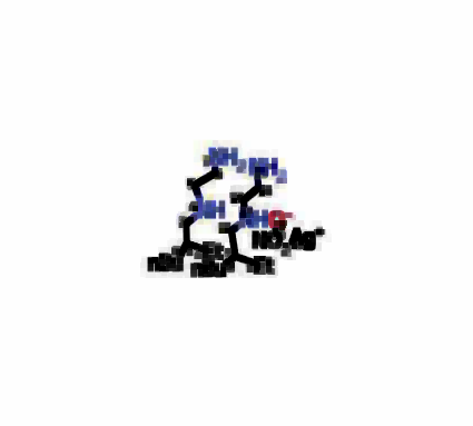 CCCCC(CC)CNCCN.CCCCC(CC)CNCCN.O=[N+]([O-])[O-].[Ag+]